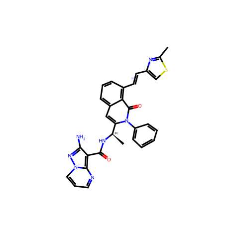 Cc1nc(/C=C/c2cccc3cc([C@@H](C)NC(=O)c4c(N)nn5cccnc45)n(-c4ccccc4)c(=O)c23)cs1